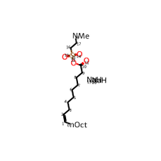 CCCCCCCC/C=C\CCCCCCCC(=O)OS(=O)(=O)CCNC.[NaH].[NaH]